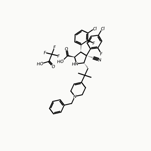 CC(C)(C[C@@H]1N[C@@H](C(=O)O)[C@H](c2cccc(Cl)c2F)[C@@]1(C#N)c1ccc(Cl)cc1F)C1=CCN(Cc2ccccc2)CC1.O=C(O)C(F)(F)F